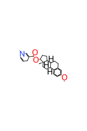 COc1ccc2c(c1)CC[C@@H]1[C@@H]2CC[C@]2(C)C(OC(=O)C3=CN(C)C=CC3)CC[C@@H]12